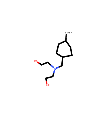 COC1CCC(CN(CCO)CCO)CC1